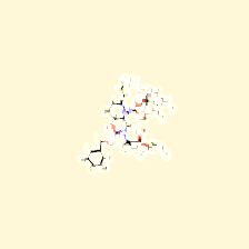 C=CCC1CCCC(CN(C(=O)OCc2ccccc2)[C@@H](C)C(=O)OC)N1C(=O)OC(C)(C)C